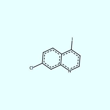 Clc1ccc2c(I)ccnc2c1